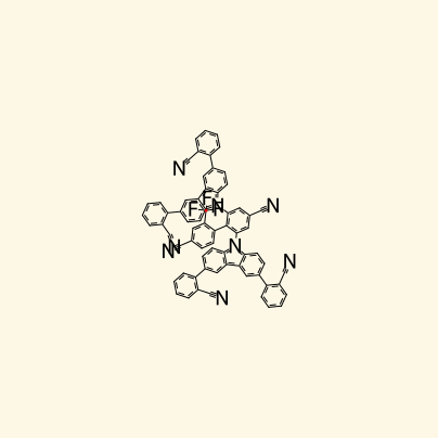 N#Cc1cc(-n2c3ccc(-c4ccccc4C#N)cc3c3cc(-c4ccccc4C#N)ccc32)c(-c2ccc(C#N)cc2C(F)(F)F)c(-n2c3ccc(-c4ccccc4C#N)cc3c3cc(-c4ccccc4C#N)ccc32)c1